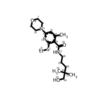 CCSc1nc(N2CCOCC2)cc(C)c1C(=O)NCCCC(C)(C)CO